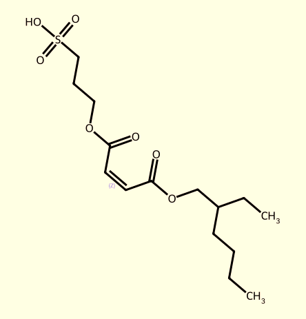 CCCCC(CC)COC(=O)/C=C\C(=O)OCCCS(=O)(=O)O